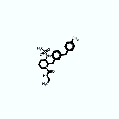 CCNC(=O)N1CCC[C@@H](NS(C)(=O)=O)[C@H]1Cc1cccc(Cc2ccc(C)cc2)c1